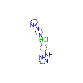 Cl.c1ccc(N2CCN(CCC3CCC(Nc4ncccn4)CC3)CC2)nc1